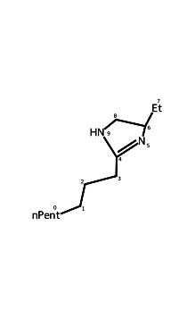 CCCCCCCCC1=NC(CC)CN1